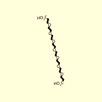 O=C(O)CCOCCOCCOCCOCCOCCOCCOCCC(=O)O